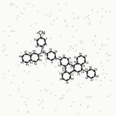 N#Cc1ccc(N(c2ccc(-c3ccc4c(c3)c3ccccc3c3cc(-c5ccccc5)c5ccccc5c43)cc2)c2ccc3ccccc3c2)cc1